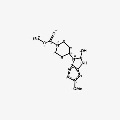 COc1ccc2c(c1)NC(O)N2C1CCN(C(=O)OC(C)(C)C)CC1